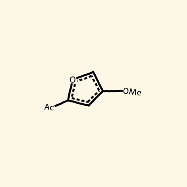 COc1coc(C(C)=O)c1